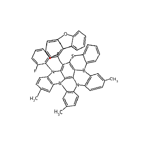 Cc1ccc2c(c1)B1c3ccccc3Sc3c1c1c4c(c3-c3cccc5oc6ccccc6c35)N(c3c(F)cccc3F)c3ccc(C)cc3B4c3cc(C)ccc3N21